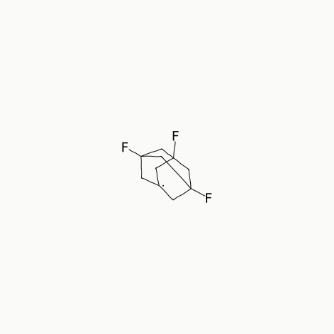 FC12C[C]3CC(F)(C1)CC(F)(C3)C2